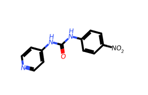 O=C(Nc1ccncc1)Nc1ccc([N+](=O)[O-])cc1